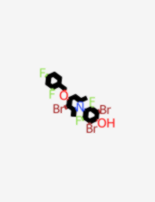 C=C1C(Br)=C(OCc2ccc(F)cc2F)C=C(C)N1c1c(F)c(Br)c(O)c(Br)c1F